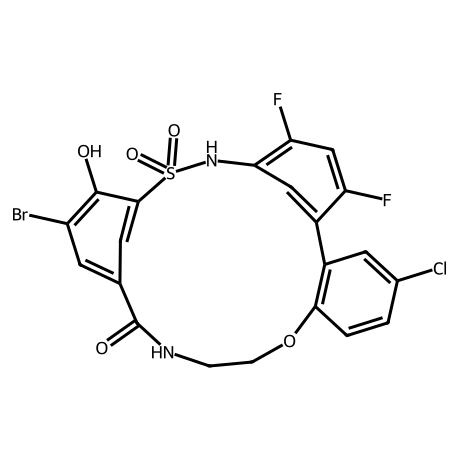 O=C1NCCOc2ccc(Cl)cc2-c2cc(c(F)cc2F)NS(=O)(=O)c2cc1cc(Br)c2O